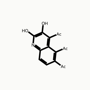 CC(=O)c1ccc2nc(O)c(O)c(C(C)=O)c2c1C(C)=O